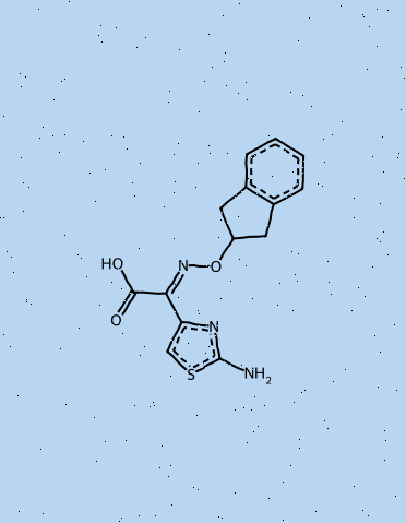 Nc1nc(/C(=N\OC2Cc3ccccc3C2)C(=O)O)cs1